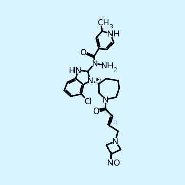 CC1C=C(C(=O)N(N)C2Nc3cccc(Cl)c3N2[C@@H]2CCCCN(C(=O)/C=C/CN3CC(N=O)C3)C2)C=CN1